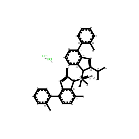 CC1=Cc2c(-c3ccccc3C)ccc(C)c2[CH]1[Zr]([CH3])([CH3])(=[SiH2])[CH]1C(C(C)C)=Cc2c(-c3ccccc3C)cccc21.Cl.Cl